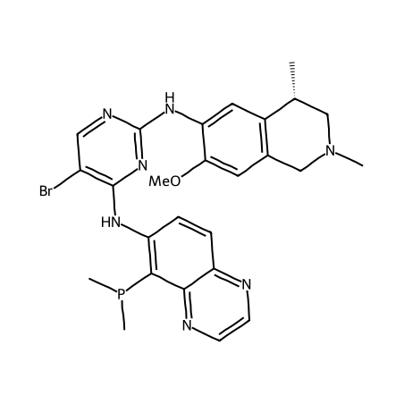 COc1cc2c(cc1Nc1ncc(Br)c(Nc3ccc4nccnc4c3P(C)C)n1)[C@H](C)CN(C)C2